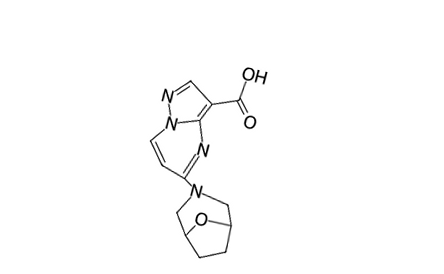 O=C(O)c1cnn2ccc(N3CC4CCC(C3)O4)nc12